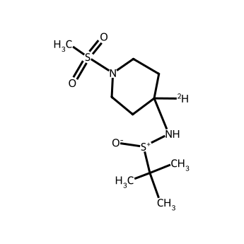 [2H]C1(N[S+]([O-])C(C)(C)C)CCN(S(C)(=O)=O)CC1